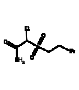 CCC(C(N)=O)S(=O)(=O)CCC(C)C